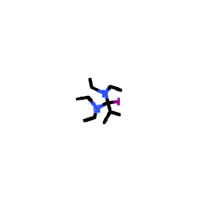 CCN(CC)C(I)(C(C)C)N(CC)CC